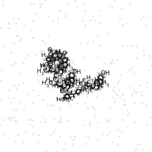 CC(=O)O.CC/C(=C(/CC)c1ccc(O)cc1)c1ccc(O)cc1.CC[C@H](/C=C/[C@@H](C)[C@H]1CC[C@H]2[C@@H]3CC=C4C[C@@H](O)CC[C@]4(C)[C@H]3CC[C@]12C)C(C)C.CC[C@H](/C=C/[C@@H](C)[C@H]1CC[C@H]2[C@@H]3CC=C4C[C@@H](O)CC[C@]4(C)[C@H]3CC[C@]12C)C(C)C.CC[C@H](CC[C@@H](C)[C@H]1CC[C@H]2[C@@H]3CCC4=CC=CC(=O)[C@]4(C)[C@H]3CC[C@]12C)C(C)C.C[C@]12CCC(=O)C[C@@H]1CC[C@@H]1[C@@H]2CC[C@]2(C)[C@@H](O)CC[C@@H]12